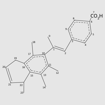 C/C(=C\c1ccc(C(=O)O)cc1)c1c(C)c(C)c2c(c1C)CC=CC2C